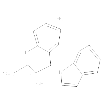 CNC[C@@H](O)[C@H](c1ccccc1F)n1ccc2ccccc21.Cl